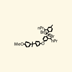 CCCC(Br)c1cc(C)ccc1S(=O)(=O)c1ccc(Oc2ccc(C(C)(C)c3ccc(OC)cc3)cc2)cc1C(Br)CCC